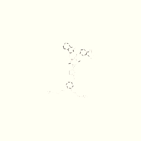 COCCOc1ccc(CN2CC[C@@H](N3CC(=O)N4[C@H](c5ccc6nsnc6c5)c5[nH]c6ccccc6c5C[C@@H]4C3=O)C2)cc1OCCOC